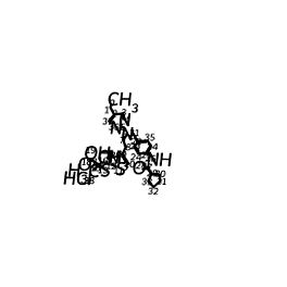 CCc1cnc(N(CCc2csc(SC(C)(C)C(=O)O)n2)Cc2ccc(NC(=O)C3CCCC3)cc2)nc1.Cl